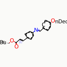 CCCCCCCCCCOc1ccc(/C=N/c2ccc(/C=C/C(=O)OC[C@@H](C)CC)cc2)cc1